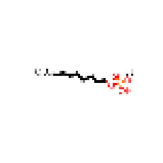 CCOP(=O)(O)OCCCCCCCCC(=O)O